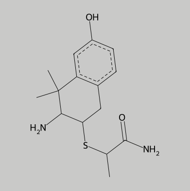 CC(SC1Cc2ccc(O)cc2C(C)(C)C1N)C(N)=O